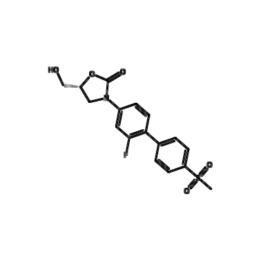 CS(=O)(=O)c1ccc(-c2ccc(N3C[C@H](CO)OC3=O)cc2F)cc1